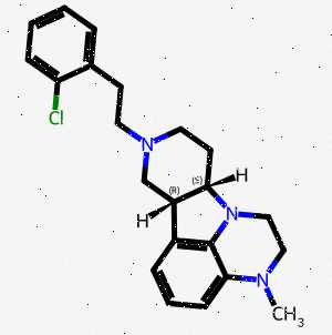 CN1CCN2c3c(cccc31)[C@@H]1CN(CCc3ccccc3Cl)CC[C@@H]12